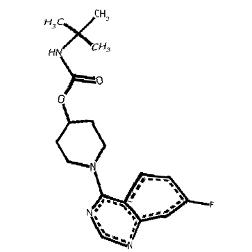 CC(C)(C)NC(=O)OC1CCN(c2ncnc3cc(F)ccc23)CC1